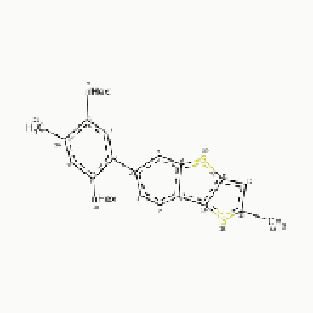 CCCCCCc1cc(-c2ccc3c(c2)sc2cc(C)sc23)c(CCCCCC)cc1C